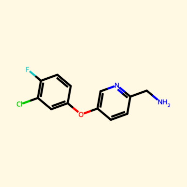 NCc1ccc(Oc2ccc(F)c(Cl)c2)cn1